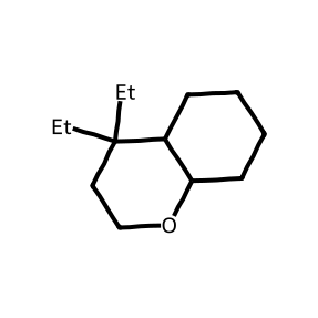 CCC1(CC)CCOC2CCCCC21